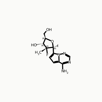 C[C@@]1(F)[C@H](O)[C@@H](CO)O[C@@]1(I)c1ccc2c(N)ncnn12